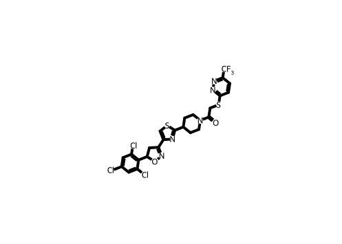 O=C(CSc1ccc(C(F)(F)F)nn1)N1CCC(c2nc(C3=NOC(c4c(Cl)cc(Cl)cc4Cl)C3)cs2)CC1